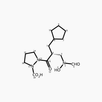 O=CN(O)C[C@@H](CC1CCCC1)C(=O)N1CCCN1C(=O)O